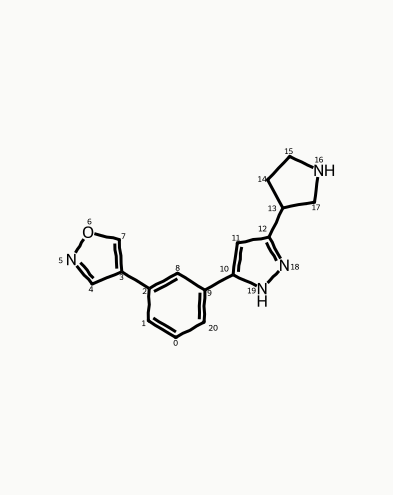 c1cc(-c2cnoc2)cc(-c2cc(C3CCNC3)n[nH]2)c1